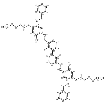 Cc1c(COc2nc(OCc3cncnc3)c(CNCCCC(=O)O)cc2Br)cccc1-c1cccc(COc2nc(OCc3cncnc3)c(CNCCCC(=O)O)cc2Br)c1C